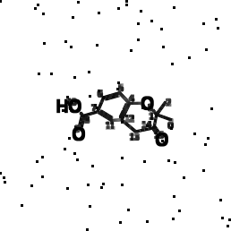 CC1(C)Oc2ccc(C(=O)O)cc2CC1=O